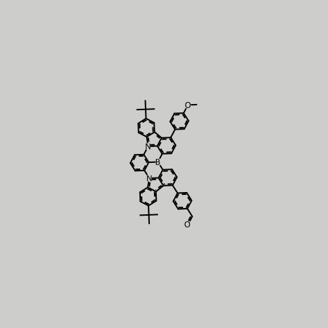 COc1ccc(-c2ccc3c4c2c2cc(C(C)(C)C)ccc2n4-c2cccc4c2B3c2ccc(-c3ccc(C=O)cc3)c3c5cc(C(C)(C)C)ccc5n-4c23)cc1